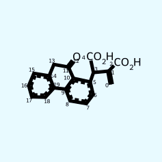 C=C(C(=O)O)C(C(=O)O)c1cccc2c1C(=O)Cc1ccccc1-2